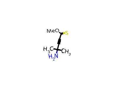 COC(=S)C#CC(C)(C)N